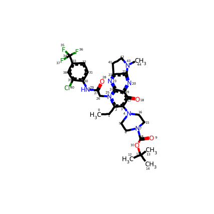 CCc1c(N2CCN(C(=O)OC(C)(C)C)CC2)c(=O)c2nc3c(nc2n1CC(=O)Nc1ccc(C(F)(F)F)cc1Cl)CCN3C